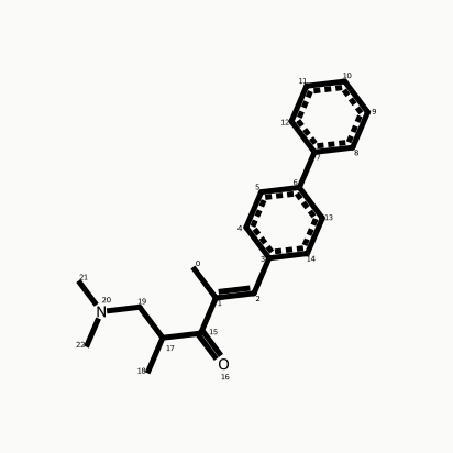 C/C(=C\c1ccc(-c2ccccc2)cc1)C(=O)C(C)CN(C)C